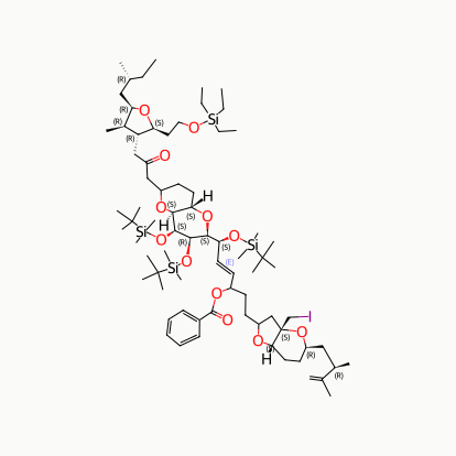 C=C(C)[C@H](C)C[C@H]1CC[C@@H]2OC(CCC(/C=C/[C@H](O[Si](C)(C)C(C)(C)C)[C@@H]3O[C@H]4CCC(CC(=O)C[C@@H]5[C@@H](C)[C@@H](C[C@H](C)CC)O[C@H]5CCO[Si](CC)(CC)CC)O[C@@H]4[C@H](O[Si](C)(C)C(C)(C)C)[C@@H]3O[Si](C)(C)C(C)(C)C)OC(=O)c3ccccc3)C[C@]2(CI)O1